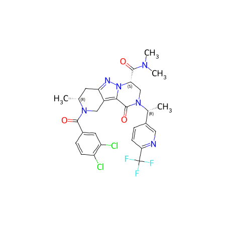 C[C@@H]1Cc2nn3c(c2CN1C(=O)c1ccc(Cl)c(Cl)c1)C(=O)N([C@H](C)c1ccc(C(F)(F)F)nc1)C[C@H]3C(=O)N(C)C